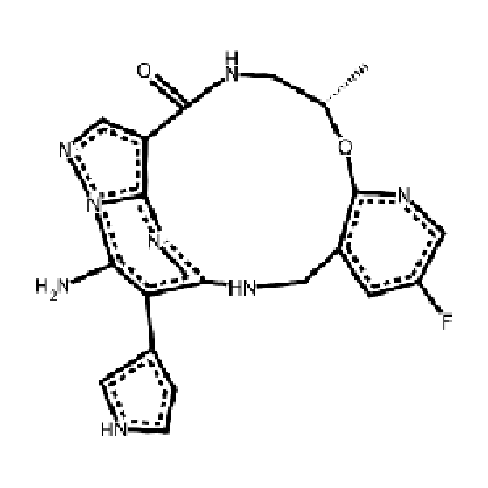 C[C@H]1CNC(=O)c2cnn3c(N)c(-c4cc[nH]c4)c(nc23)NCc2cc(F)cnc2O1